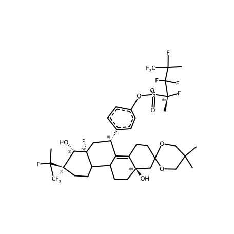 CC1(C)COC2(CCC3=C4C(CC[C@@]3(O)C2)C2CC[C@@H](C(C)(F)C(F)(F)F)[C@H](O)[C@@]2(C)C[C@@H]4c2ccc(OS(=O)(=O)[C@@](C)(F)C(F)(F)C(C)(F)C(F)(F)F)cc2)OC1